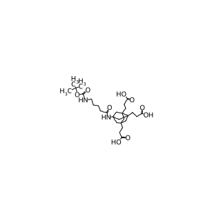 CC(C)(C)OC(=O)NCCCCC(=O)NC12CC3(CCC(=O)O)CC(CCC(=O)O)(C1)C(CCC(=O)O)(C3)C2